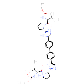 COC(=O)N[C@H](C(=O)N1CCC[C@H]1C1=NCC(c2ccc(-c3ccc(-c4cnc([C@@H]5CCCN5C(=O)[C@@H](NC(=O)OC)C(C)C)[nH]4)cc3)cc2)N1)C(C)C